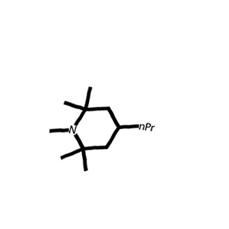 CCCC1CC(C)(C)N(C)C(C)(C)C1